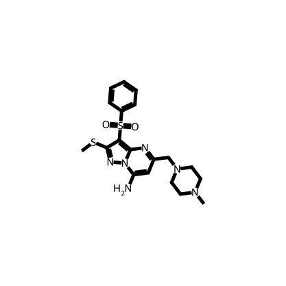 CSc1nn2c(N)cc(CN3CCN(C)CC3)nc2c1S(=O)(=O)c1ccccc1